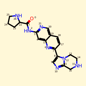 O=C(Nc1cc2nc(-c3cnc4n3CCNC4)ccc2cn1)C1CCCN1